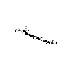 CCCCOCCOCCOCCO/C=C(\CC)CCCC